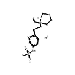 CC[N+]1(CCc2ccc(NS(C)(=O)=O)cc2)CCCCC1.[Br-]